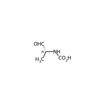 C[C@H](C=O)NC(=O)O